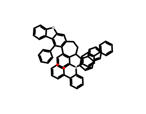 c1ccc(-c2ccc(N(c3ccccc3-c3ccccc3)c3cccc4c3C(c3cccc5ccccc35)CCc3cc5oc6ccccc6c5c(-c5ccccc5)c3-4)cc2)cc1